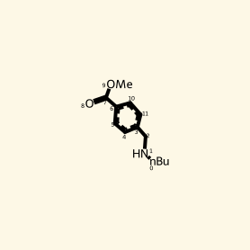 CCCCNCc1ccc(C(=O)OC)cc1